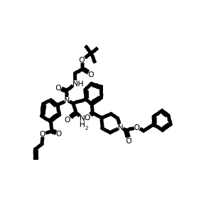 C=CCOC(=O)c1cccc(N(C(=O)NCC(=O)OC(C)(C)C)C(C(N)=O)c2ccccc2C(=O)C2CCN(C(=O)OCc3ccccc3)CC2)c1